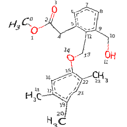 COC(=O)Cc1cccc(CO)c1COc1cc(C)c(C)cc1C